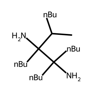 CCCCC(C)C(N)(CCCC)C(N)(CCCC)CCCC